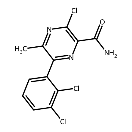 Cc1nc(Cl)c(C(N)=O)nc1-c1cccc(Cl)c1Cl